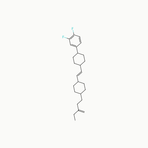 C=C(CC)CCC1CCC(/C=C/C2CCC(c3ccc(F)c(F)c3)CC2)CC1